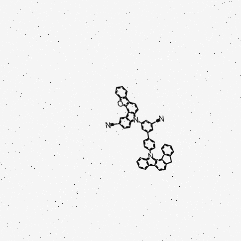 N#Cc1cc(-c2ccc(-n3c4ccccc4c4ccc5c(c43)-c3ccccc3C5)cc2)cc(-n2c3ccc(C#N)cc3c3c4oc5ccccc5c4ccc32)c1